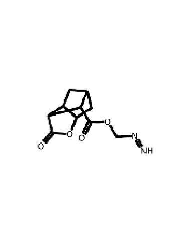 N=NCOC(=O)C1C2CC3OC(=O)C1C3C2